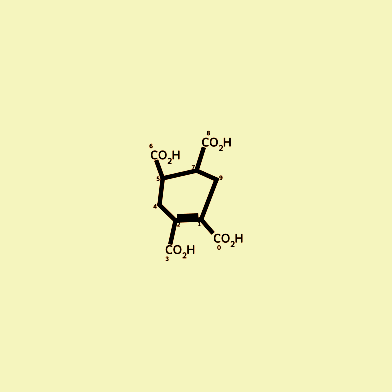 O=C(O)C1=C(C(=O)O)CC(C(=O)O)C(C(=O)O)C1